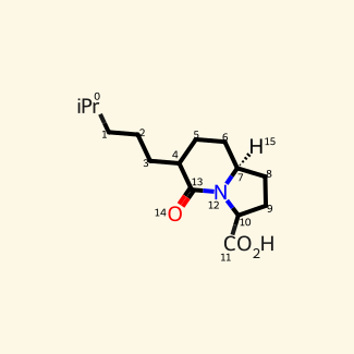 CC(C)CCCC1CC[C@H]2CCC(C(=O)O)N2C1=O